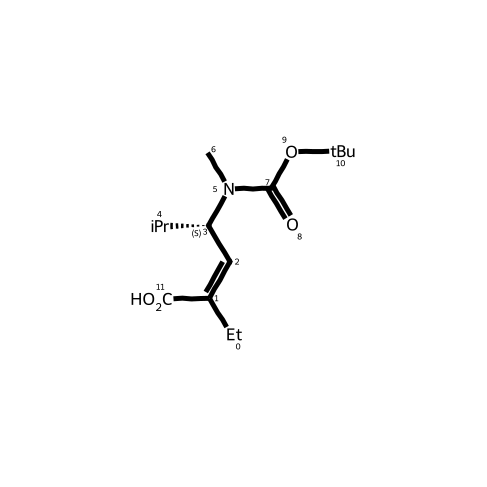 CCC(=C[C@H](C(C)C)N(C)C(=O)OC(C)(C)C)C(=O)O